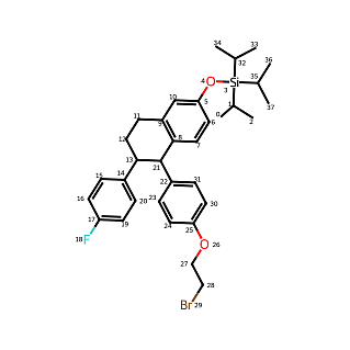 CC(C)[Si](Oc1ccc2c(c1)CCC(c1ccc(F)cc1)C2c1ccc(OCCBr)cc1)(C(C)C)C(C)C